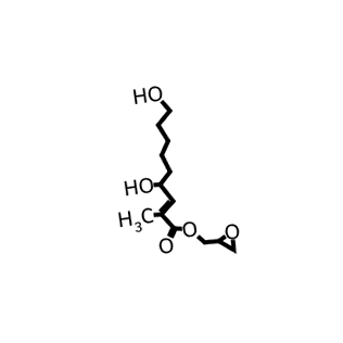 CC(=CC(O)CCCCCO)C(=O)OCC1CO1